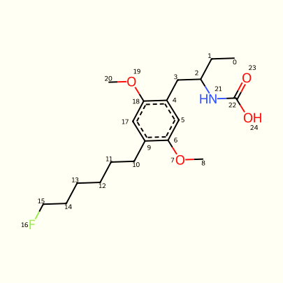 CCC(Cc1cc(OC)c(CCCCCCF)cc1OC)NC(=O)O